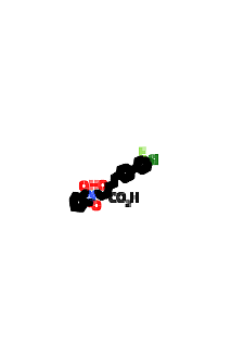 O=C(O)[C@H](CCN1C(=O)c2ccccc2C1=O)[C@H](O)CCc1ccc(-c2ccc(Cl)c(F)c2)cc1